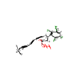 C[Si](C)(C)C#CC#CC#CCC(CC(=O)O)c1c(F)c(F)cc(F)c1F